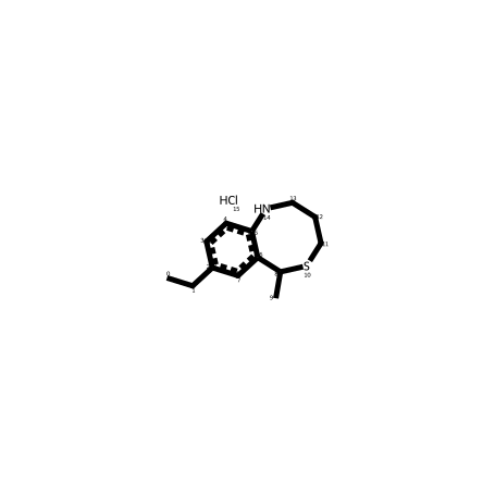 CCc1ccc2c(c1)C(C)SCCCN2.Cl